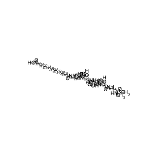 C=CC(=O)[C@H](CCCCNC(=O)CC[C@H](NC(=O)CC[C@H](NC(=O)CC[C@H](NC(=O)[C@H]1CC[C@H](CNC(=O)CCCCCCCCCCCCCCCCCCC(=O)O)CC1)C(O)O)C(=O)O)C(O)O)NC